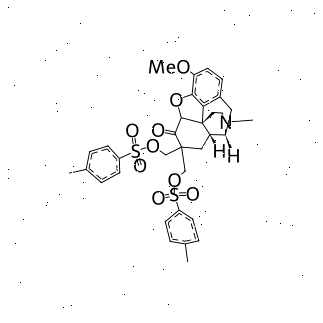 COc1ccc2c3c1OC1C(=O)C(COS(=O)(=O)c4ccc(C)cc4)(COS(=O)(=O)c4ccc(C)cc4)C[C@H]4[C@@H](C2)N(C)CC[C@]314